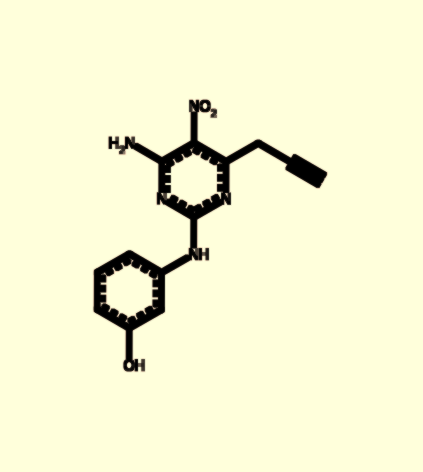 C#CCc1nc(Nc2cccc(O)c2)nc(N)c1[N+](=O)[O-]